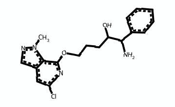 Cn1ncc2cc(Cl)nc(OCCCC(O)C(N)c3ccccc3)c21